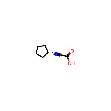 C1CCCC1.N#CC(=O)O